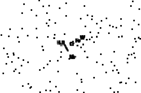 BC.[Cr].[Fe].[Nb].[W]